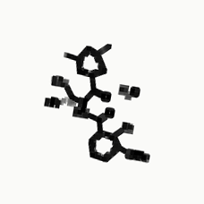 CCC[C@@H](N(NC(=O)c1cccc(OC)c1CC)C(=O)c1cc(C)cc(C)c1)C(C)(C)C.O